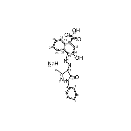 CC1=NN(c2ccccc2)C(=O)C1/N=N/c1c(O)cc(S(=O)(=O)O)c2ccccc12.[NaH]